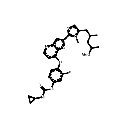 [CH2]C(CC(C)Cc1cnc(-c2cc3nccc(Oc4ccc(NC(=O)NC5CC5)cc4F)c3s2)n1C)OC